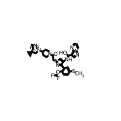 CSc1ccc(OC(F)F)c(-c2nn(CC(=O)N3CCC(N(C)CC4(C5C=N5)CC4)CC3)cc2NC(O)c2cnn3cccnc23)c1